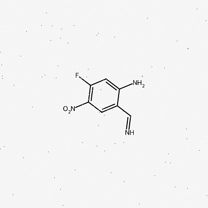 N=Cc1cc([N+](=O)[O-])c(F)cc1N